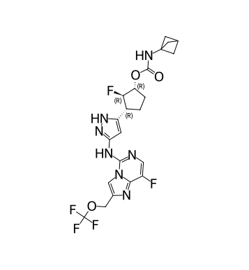 O=C(NC12CC(C1)C2)O[C@@H]1CC[C@H](c2cc(Nc3ncc(F)c4nc(COC(F)(F)F)cn34)n[nH]2)[C@H]1F